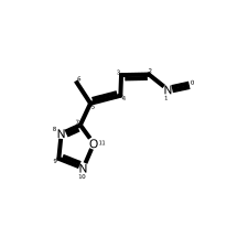 C=N/C=C\C=C(/C)c1ncno1